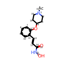 CC(=O)N1CCC(Oc2ccccc2C=CC(=O)NO)CC1